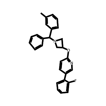 Cc1cccc(C(c2ccccc2)N2CC(Oc3ccc(-c4ccccc4F)cn3)C2)c1